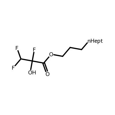 CCCCCCCCCCOC(=O)C(O)(F)C(F)F